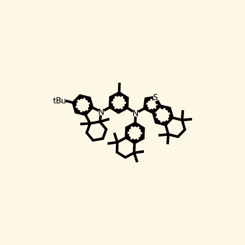 Cc1cc(N(c2ccc3c(c2)C(C)(C)CCC3(C)C)c2csc3cc4c(cc23)C(C)(C)CCC4(C)C)cc(N2c3ccc(C(C)(C)C)cc3C3(C)CCCCC23C)c1